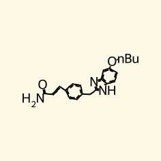 CCCCOc1ccc2[nH]c(Cc3ccc(/C=C/C(N)=O)cc3)nc2c1